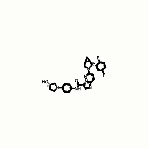 O=C(Nc1ccc(N2CC[C@H](O)C2)cc1)c1cnc2ccc(N3CC4CC4[C@@H]3c3cc(F)ccc3F)nn12